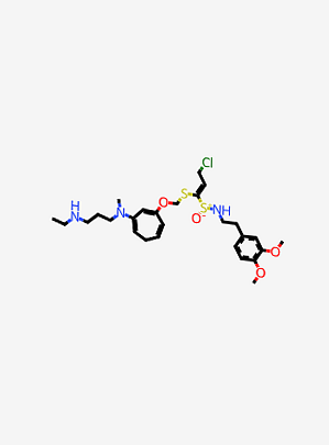 CCNCCCN(C)C1=CCC=CC(OCS/C(=C\CCl)[S+]([O-])NCCc2ccc(OC)c(OC)c2)=C1